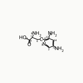 Nc1cnc(CCC(N)C(=O)O)c(N)c1